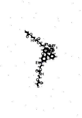 C=CC(=O)OCCNC(=O)OCCN(CC)c1ccc2c(-c3ccccc3S(=O)(=O)NS(=O)(=O)C(F)(F)F)c3cc/c(=[N+](/CC)CCOC(=O)NCCOC(=O)C=C)cc-3oc2c1